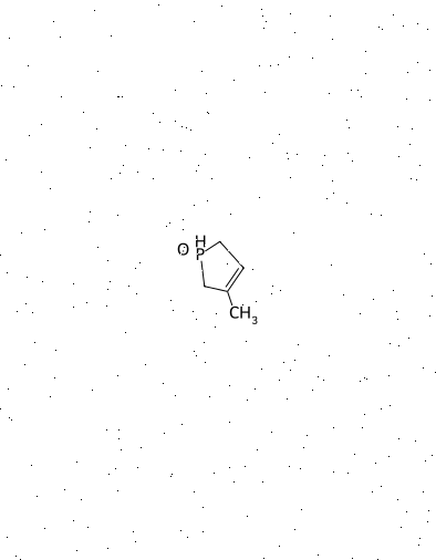 CC1=CC[PH](=O)C1